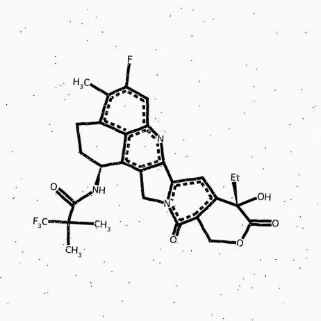 CC[C@@]1(O)C(=O)OCc2c1cc1n(c2=O)Cc2c-1nc1cc(F)c(C)c3c1c2[C@@H](NC(=O)C(C)(C)C(F)(F)F)CC3